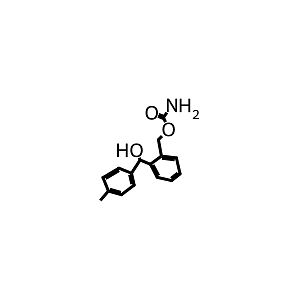 Cc1ccc(C(O)c2ccccc2COC(N)=O)cc1